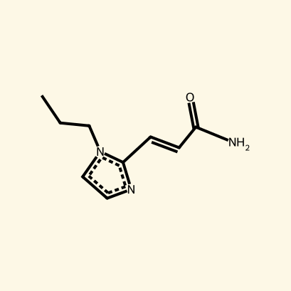 CCCn1ccnc1C=CC(N)=O